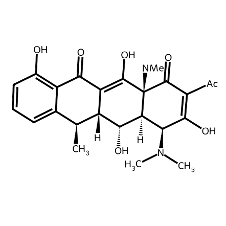 CN[C@@]12C(=O)C(C(C)=O)=C(O)[C@@H](N(C)C)[C@H]1[C@H](O)[C@H]1C(=C2O)C(=O)c2c(O)cccc2[C@@H]1C